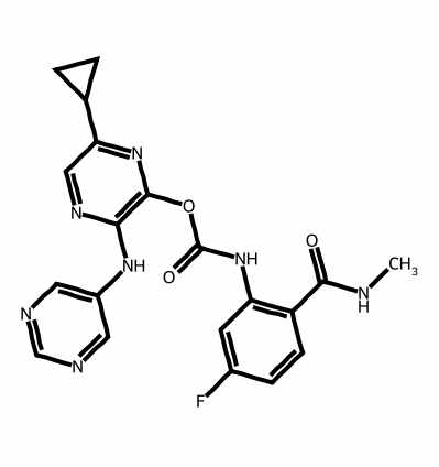 CNC(=O)c1ccc(F)cc1NC(=O)Oc1nc(C2CC2)cnc1Nc1cncnc1